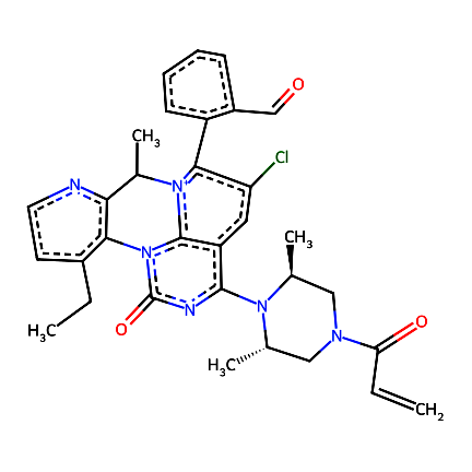 C=CC(=O)N1C[C@H](C)N(c2nc(=O)n3c4c2cc(Cl)c(-c2ccccc2C=O)[n+]4C(C)c2nccc(CC)c2-3)[C@@H](C)C1